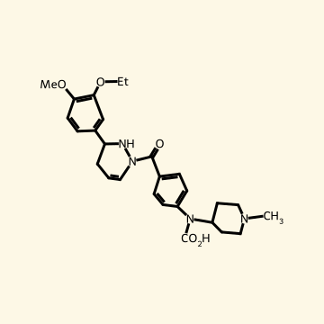 CCOc1cc(C2CC=CN(C(=O)c3ccc(N(C(=O)O)C4CCN(C)CC4)cc3)N2)ccc1OC